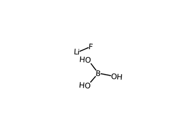 OB(O)O.[Li][F]